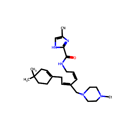 CCN1CCN(CC(/C=C\CNC(=O)c2nc(C#N)c[nH]2)=C/CC2=CCC(C)(C)CC2)CC1